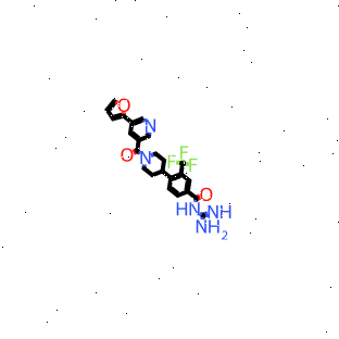 N=C(N)NC(=O)c1ccc(C2CCN(C(=O)c3cncc(-c4ccco4)c3)CC2)c(C(F)(F)F)c1